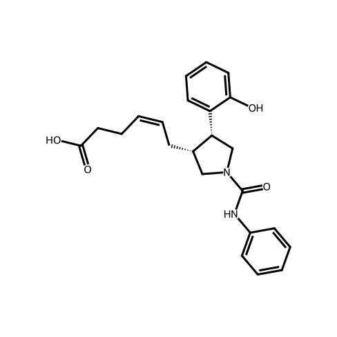 O=C(O)CC/C=C\C[C@H]1CN(C(=O)Nc2ccccc2)C[C@H]1c1ccccc1O